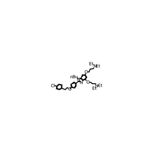 CCCCn1c(-c2ccc(OCCc3ccc(Cl)cc3)cc2)nc2c(OCCCN(CC)CC)cc(OCCCN(CC)CC)cc21